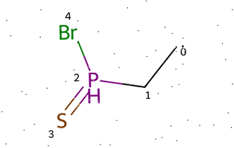 [CH2]C[PH](=S)Br